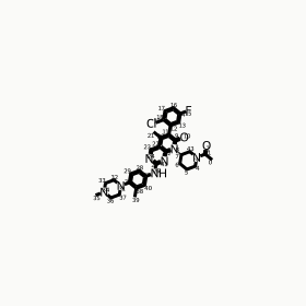 CC(=O)N1CCC[C@H](n2c(=O)c(-c3cc(F)ccc3Cl)c(C)c3cnc(Nc4ccc(N5CCN(C)CC5)c(C)c4)nc32)C1